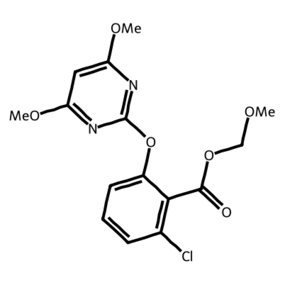 COCOC(=O)c1c(Cl)cccc1Oc1nc(OC)cc(OC)n1